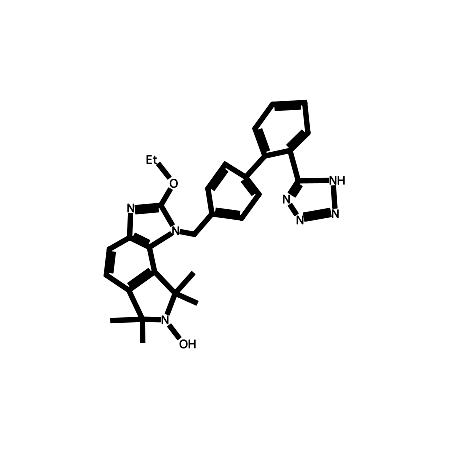 CCOc1nc2ccc3c(c2n1Cc1ccc(-c2ccccc2-c2nnn[nH]2)cc1)C(C)(C)N(O)C3(C)C